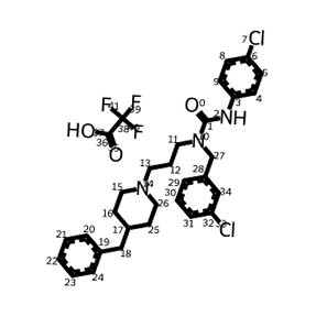 O=C(Nc1ccc(Cl)cc1)N(CCCN1CCC(Cc2ccccc2)CC1)Cc1cccc(Cl)c1.O=C(O)C(F)(F)F